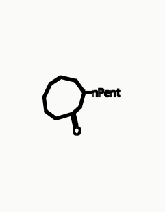 CCCCC[C]1CCCCCCC(=O)C1